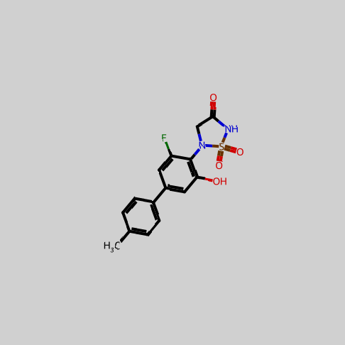 Cc1ccc(-c2cc(O)c(N3CC(=O)NS3(=O)=O)c(F)c2)cc1